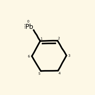 [Pb][C]1=CCCCC1